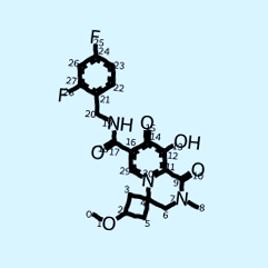 COC1CC2(C1)CN(C)C(=O)c1c(O)c(=O)c(C(=O)NCc3ccc(F)cc3F)cn12